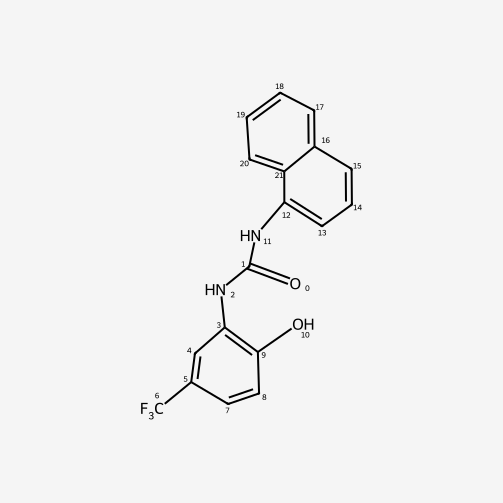 O=C(Nc1cc(C(F)(F)F)ccc1O)Nc1cccc2ccccc12